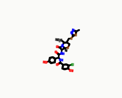 Cc1nnc(SCC2=C(C(=O)O)N3C(=O)C(NC(=O)C(NC(=O)c4ccc(O)c(Cl)c4)c4ccc(O)cc4)[C@@H]3SC2)s1